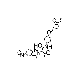 C=CC(=O)OCCOc1ccc(NC(=O)/C(=N\Nc2ccc(N=O)cc2OC)C(C)=O)cc1